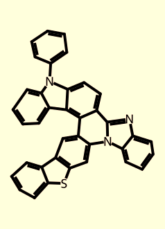 c1ccc(-n2c3ccccc3c3c4c5cc6c(cc5n5c7ccccc7nc5c4ccc32)sc2ccccc26)cc1